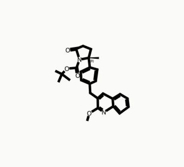 COc1nc2ccccc2cc1Cc1ccc([C@@]2(C)CCC(=O)N2C(=O)OC(C)(C)C)cc1